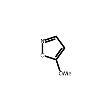 COc1[c]cno1